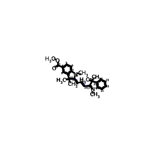 COC(=O)c1ccc2c(c1)C(C)(C)/C(=C/C=C/C1=[N+](C)c3ccccc3C1(C)C)N2C